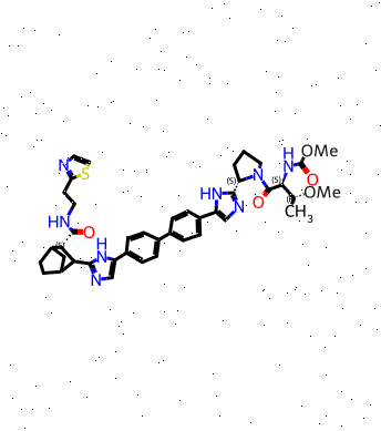 COC(=O)N[C@H](C(=O)N1CCC[C@H]1c1ncc(-c2ccc(-c3ccc(-c4cnc(C5C6CCC(C6)[C@@H]5C(=O)NCCc5nccs5)[nH]4)cc3)cc2)[nH]1)[C@@H](C)OC